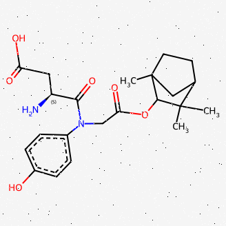 CC12CCC(C1)C(C)(C)C2OC(=O)CN(C(=O)[C@@H](N)CC(=O)O)c1ccc(O)cc1